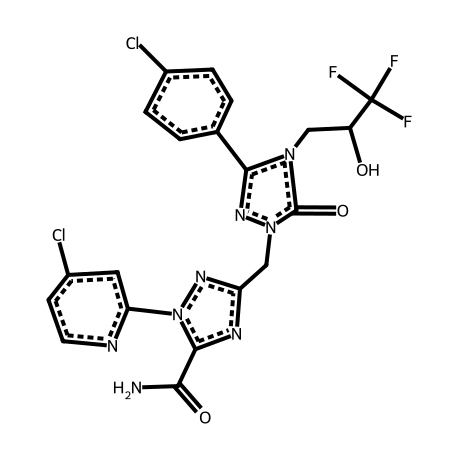 NC(=O)c1nc(Cn2nc(-c3ccc(Cl)cc3)n(CC(O)C(F)(F)F)c2=O)nn1-c1cc(Cl)ccn1